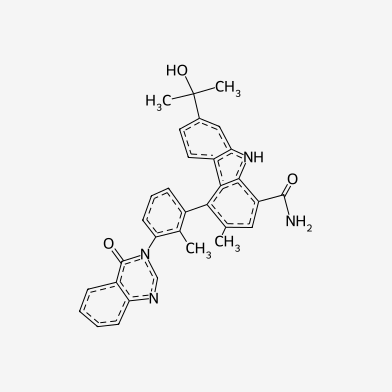 Cc1cc(C(N)=O)c2[nH]c3cc(C(C)(C)O)ccc3c2c1-c1cccc(-n2cnc3ccccc3c2=O)c1C